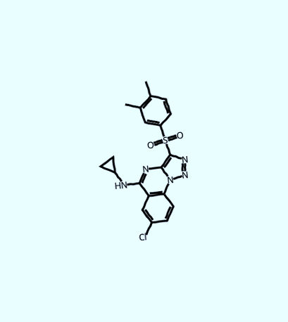 Cc1ccc(S(=O)(=O)c2nnn3c2nc(NC2CC2)c2cc(Cl)ccc23)cc1C